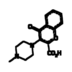 CN1CCN(c2c(C(=O)O)oc3ccccc3c2=O)CC1